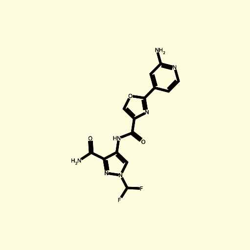 NC(=O)c1nn(C(F)F)cc1NC(=O)c1coc(-c2ccnc(N)c2)n1